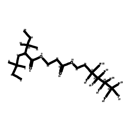 CCC(C)(C)CC(C(=O)OCCC(=O)OCCC(F)(F)C(F)(F)C(F)(F)C(F)(F)F)C(C)(C)CC